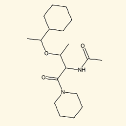 CC(=O)NC(C(=O)N1CCCCC1)C(C)OC(C)C1CCCCC1